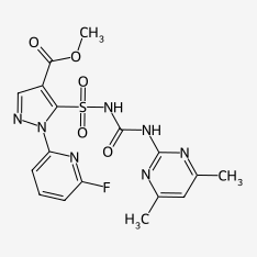 COC(=O)c1cnn(-c2cccc(F)n2)c1S(=O)(=O)NC(=O)Nc1nc(C)cc(C)n1